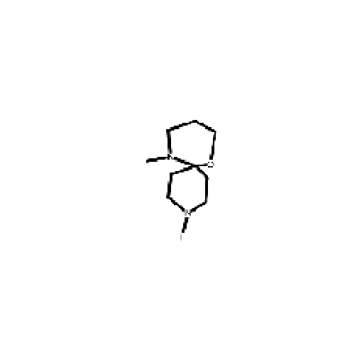 CN1CCCOC12CCN(I)CC2